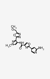 COCc1nnc(-c2nn(C)cc2NC(=O)c2coc(-c3ccnc(N)c3)n2)o1